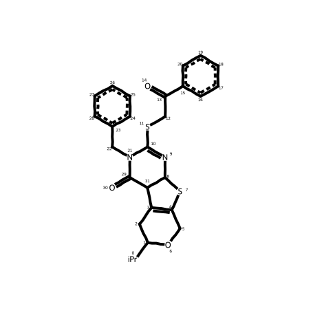 CC(C)C1CC2=C(CO1)SC1N=C(SCC(=O)c3ccccc3)N(Cc3ccccc3)C(=O)C21